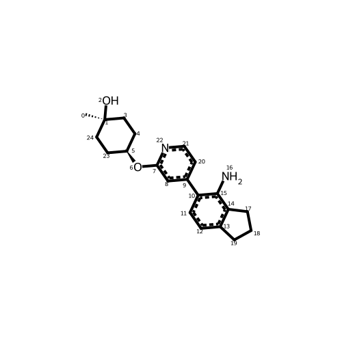 C[C@]1(O)CC[C@@H](Oc2cc(-c3ccc4c(c3N)CCC4)ccn2)CC1